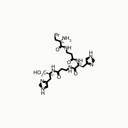 CC(C)C[C@H](N)C(=O)NCCC(=O)N[C@@H](Cc1c[nH]cn1)C(=O)NCCC(=O)N[C@@H](Cc1c[nH]cn1)C(=O)O